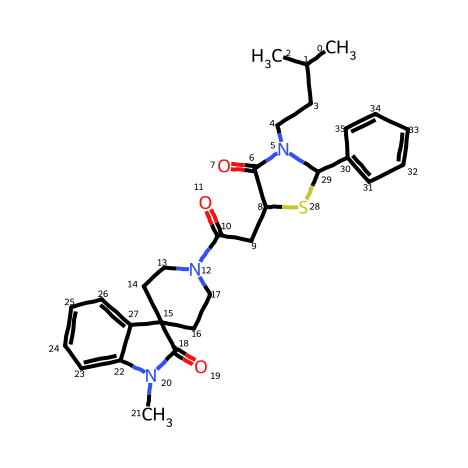 CC(C)CCN1C(=O)C(CC(=O)N2CCC3(CC2)C(=O)N(C)c2ccccc23)SC1c1ccccc1